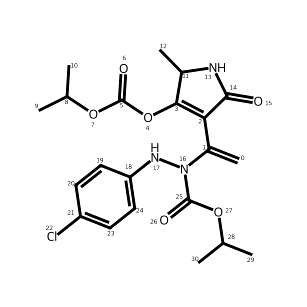 C=C(C1=C(OC(=O)OC(C)C)C(C)NC1=O)N(Nc1ccc(Cl)cc1)C(=O)OC(C)C